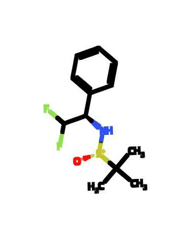 CC(C)(C)[S@+]([O-])N[C@H](c1ccccc1)C(F)F